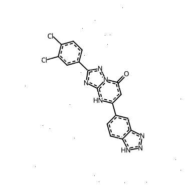 O=c1cc(-c2ccc3[nH]nnc3c2)[nH]c2nc(-c3ccc(Cl)c(Cl)c3)nn12